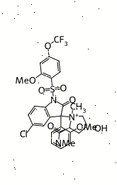 CNC(=O)[C@@H]1C[C@@H](O)C[N+]1(C)C1(c2ccccc2OC)C(=O)N(S(=O)(=O)c2ccc(OC(F)(F)F)cc2OC)c2ccc(Cl)cc21